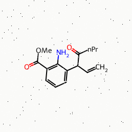 C=CC(C(=O)CCC)c1cccc(C(=O)OC)c1N